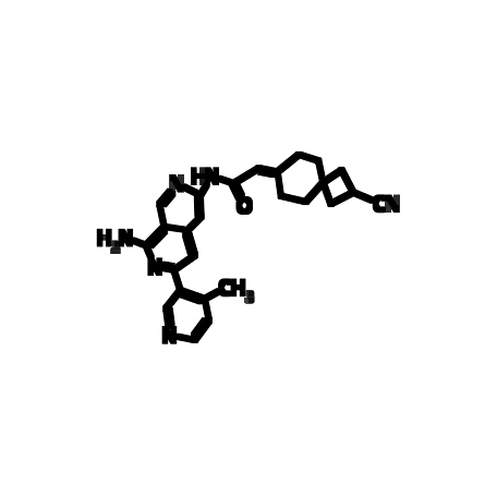 Cc1ccncc1-c1cc2cc(NC(=O)C=C3CCC4(CC3)CC(C#N)C4)ncc2c(N)n1